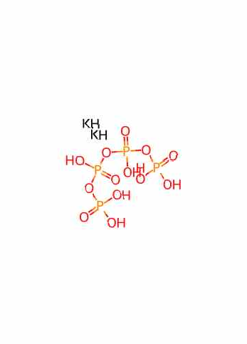 O=P(O)(O)OP(=O)(O)OP(=O)(O)OP(=O)(O)O.[KH].[KH]